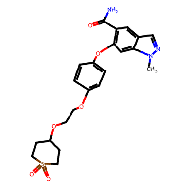 Cn1ncc2cc(C(N)=O)c(Oc3ccc(OCCOC4CCS(=O)(=O)CC4)cc3)cc21